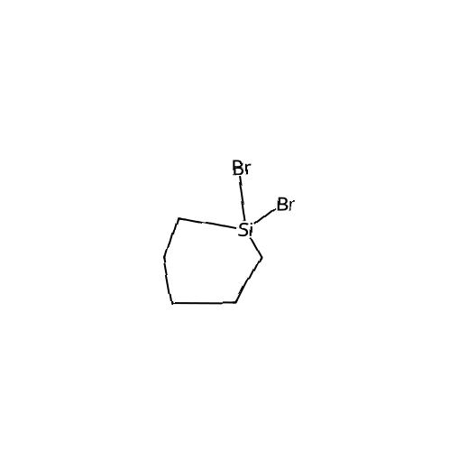 Br[Si]1(Br)CCCCC1